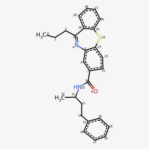 CCCC1=Nc2cc(C(=O)NC(C)CCc3ccccc3)ccc2Sc2ccccc21